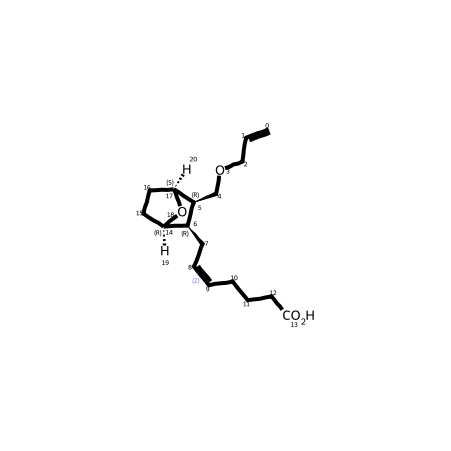 C=CCOC[C@H]1[C@@H](C/C=C\CCCC(=O)O)[C@H]2CC[C@@H]1O2